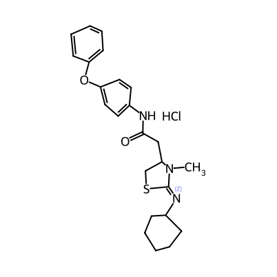 CN1/C(=N/C2CCCCC2)SCC1CC(=O)Nc1ccc(Oc2ccccc2)cc1.Cl